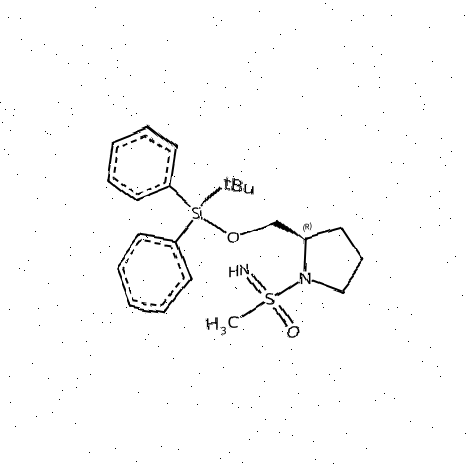 CC(C)(C)[Si](OC[C@H]1CCCN1S(C)(=N)=O)(c1ccccc1)c1ccccc1